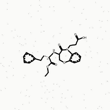 CCOC(=O)[C@H](CCc1ccccc1)NC1COc2ccccc2N(CCC(=O)O)C1=O